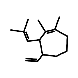 C=CC1CCCC(C)=C(C)C1C=C(C)C